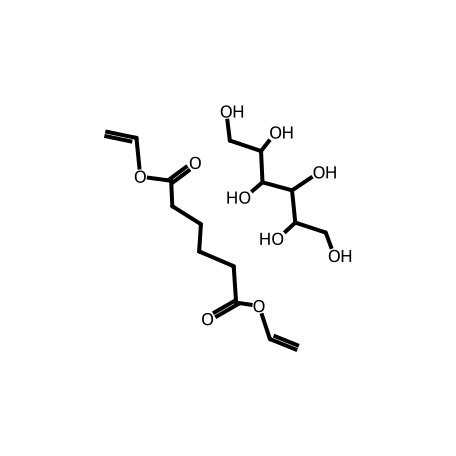 C=COC(=O)CCCCC(=O)OC=C.OCC(O)C(O)C(O)C(O)CO